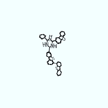 c1ccc(C2NC(c3ccc4c(c3)sc3c(-c5cccc6c5sc5ccccc56)cccc34)NC(c3ccc4oc5ccccc5c4c3)N2)cc1